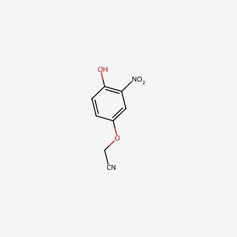 N#CCOc1ccc(O)c([N+](=O)[O-])c1